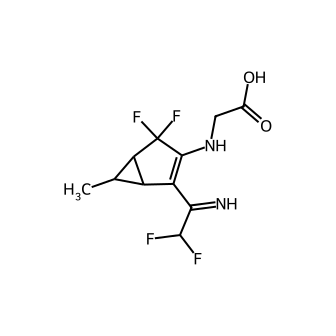 CC1C2C(C(=N)C(F)F)=C(NCC(=O)O)C(F)(F)C12